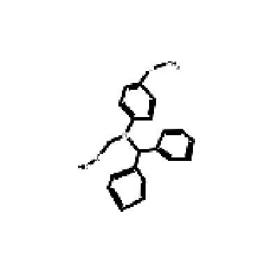 COc1ccc(N(CCO)C(c2ccccc2)c2ccccc2)cc1